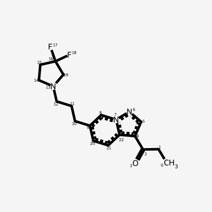 CCC(=O)c1cnn2cc(CCCN3CCC(F)(F)C3)ccc12